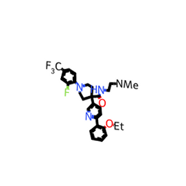 CCOc1ccccc1-c1ccc(C2(C(=O)NCCNC)CCN(c3ccc(C(F)(F)F)cc3F)CC2)cn1